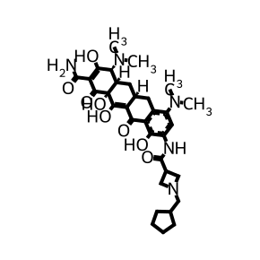 CN(C)c1cc(NC(=O)C2CN(CC3CCCC3)C2)c(O)c2c1C[C@H]1C[C@H]3[C@H](N(C)C)C(O)=C(C(N)=O)C(=O)[C@@]3(O)C(O)=C1C2=O